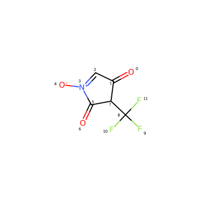 O=C1C=[N+]([O-])C(=O)C1C(F)(F)F